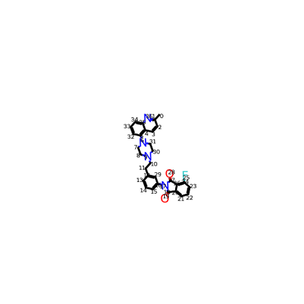 Cc1ccc2c(N3CCN(CCc4cccc(N5C(=O)c6cccc(F)c6C5=O)c4)CC3)cccc2n1